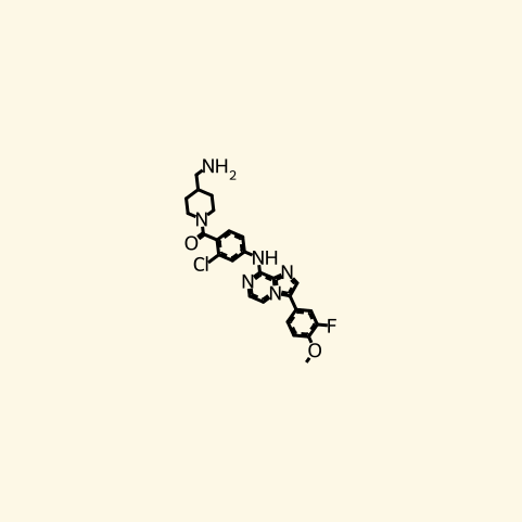 COc1ccc(-c2cnc3c(Nc4ccc(C(=O)N5CCC(CN)CC5)c(Cl)c4)nccn23)cc1F